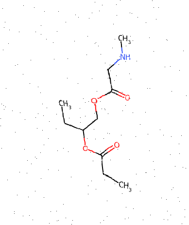 CCC(=O)OC(CC)COC(=O)CNC